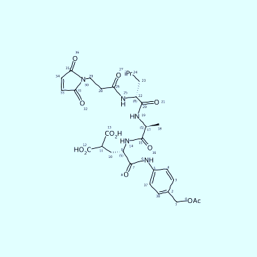 CC(=O)OCc1ccc(NC(=O)[C@H](CC(C(=O)O)C(=O)O)NC(=O)[C@H](C)NC(=O)[C@@H](CC(C)C)NC(=O)CCN2C(=O)C=CC2=O)cc1